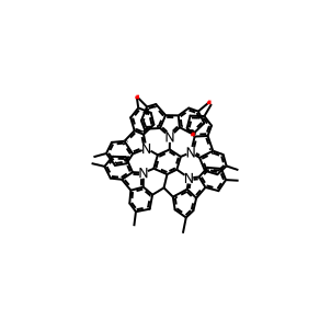 Cc1ccc2c(c1)c1cc(C)ccc1n2-c1c(-n2c3ccc(C)cc3c3cc(C)ccc32)c2c3c(c1-n1c4ccc(C)cc4c4cc(C)ccc41)-n1c4ccc(C)cc4c4cc(C)cc(c41)C3c1cc(C)cc3c4cc(C)ccc4n-2c13